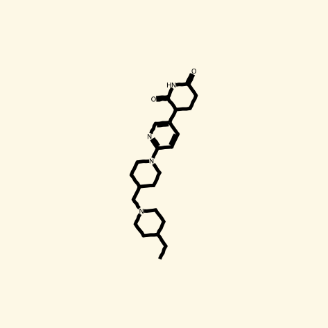 CCC1CCN(CC2CCN(c3ccc(C4CCC(=O)NC4=O)cn3)CC2)CC1